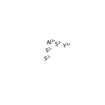 [Al+3].[S-2].[S-2].[S-2].[Y+3]